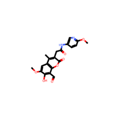 COc1ccc(NC(=O)Cc2c(C)c3cc(OC)c(O)c(C=O)c3oc2=O)cn1